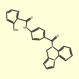 CSc1ccccc1C(=O)Nc1ccc(C(=O)N2Cc3cccn3-c3ccccc32)cc1